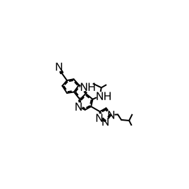 CC(C)CCn1cc(-c2cnc3c([nH]c4cc(C#N)ccc43)c2NC(C)C)nn1